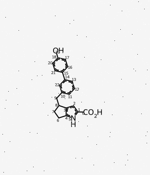 O=C(O)c1cc2c([nH]1)CCC2Cc1cccc(-c2ccc(O)cc2)c1